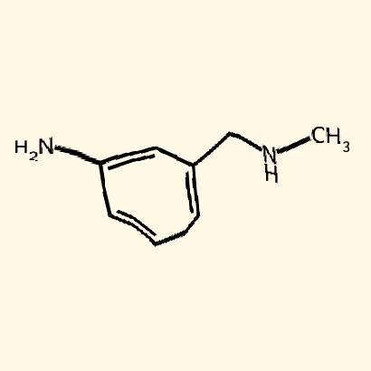 CNCc1cccc(N)c1